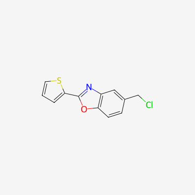 ClCc1ccc2oc(-c3cccs3)nc2c1